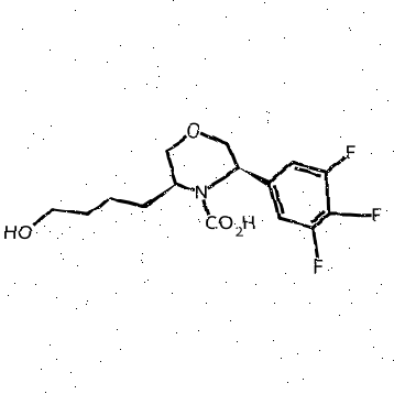 O=C(O)N1[C@@H](CCCCO)COC[C@H]1c1cc(F)c(F)c(F)c1